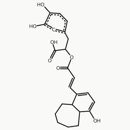 O=C(/C=C/C1=CC=C(O)C2CCCCCC12)OC(Cc1ccc(O)c(O)c1)C(=O)O